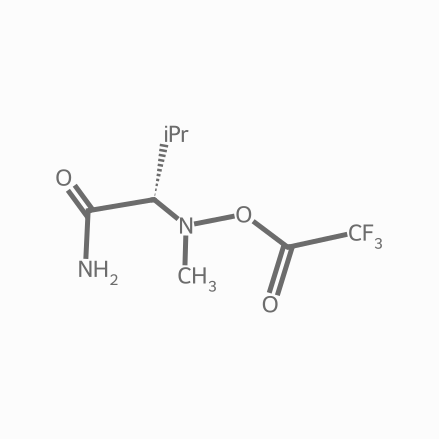 CC(C)[C@@H](C(N)=O)N(C)OC(=O)C(F)(F)F